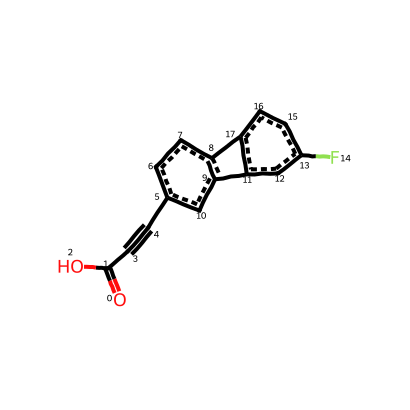 O=C(O)C#Cc1ccc2c(c1)-c1cc(F)ccc1-2